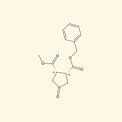 COC(=O)[C@H]1CC(=O)C[C@H]1C(=O)OCc1ccccc1